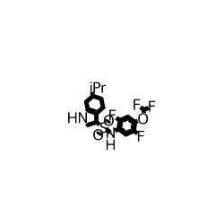 CC(C)C1CCC2=C(C1)NCC2S(=O)(=O)Nc1cc(F)c(OC(F)F)cc1F